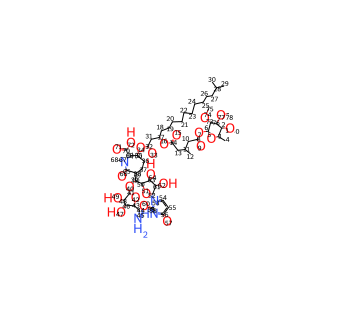 COC1C(C)OC(OC(=O)CC(C)CC(=O)OC(CCCCCCCCCCC(C)C)CC(=O)O[C@H]2CC[C@@H]([C@H](OC3OC(CN)C(O)C3O)C3OC(n4ccc(=O)[nH]c4=O)C(O)C3O)C(=O)N(C)[C@@H]2C(=O)O)C(OC)C1OC